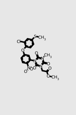 COC(=O)Cn1c(=O)n(C)c(=O)n(-c2cc(Oc3ccc(SC)cc3Cl)ccc2[N+](=O)[O-])c1=O